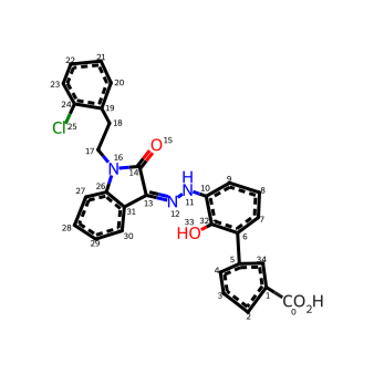 O=C(O)c1cccc(-c2cccc(NN=C3C(=O)N(CCc4ccccc4Cl)c4ccccc43)c2O)c1